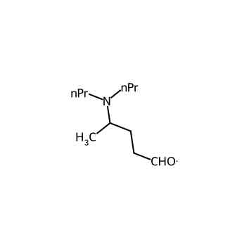 CCCN(CCC)C(C)CC[C]=O